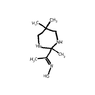 C/C(=N\O)C1(C)NCC(C)(C)CN1